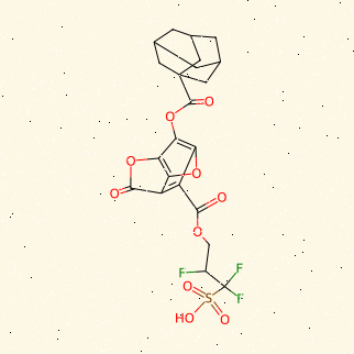 O=C1Oc2c(OC(=O)C34CC5CC(CC(C5)C3)C4)c3oc2c1c3C(=O)OCC(F)C(F)(F)S(=O)(=O)O